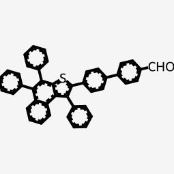 O=Cc1ccc(-c2ccc(-c3sc4c(-c5ccccc5)c(-c5ccccc5)c5ccccc5c4c3-c3ccccc3)cc2)cc1